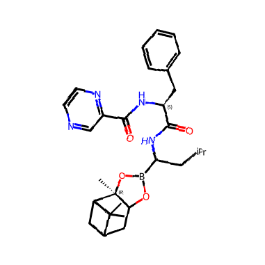 CC(C)CC(NC(=O)[C@H](Cc1ccccc1)NC(=O)c1cnccn1)B1OC2CC3CC(C3(C)C)[C@@]2(C)O1